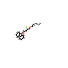 CC(C)(C)[Si](OCC=C(F)COCCC(=O)O)(c1ccccc1)c1ccccc1